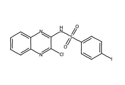 O=S(=O)(Nc1nc2ccccc2nc1Cl)c1ccc(I)cc1